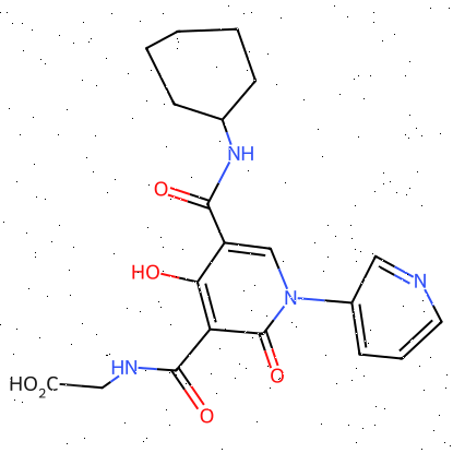 O=C(O)CNC(=O)c1c(O)c(C(=O)NC2CCCCC2)cn(-c2cccnc2)c1=O